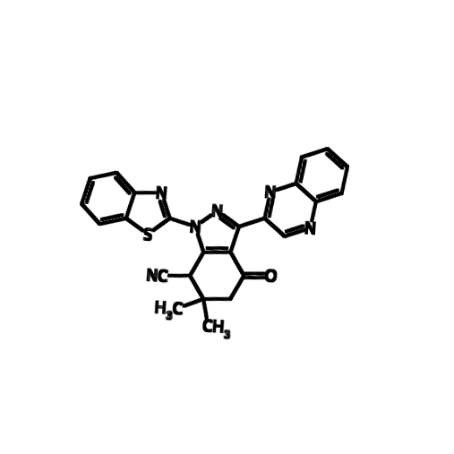 CC1(C)CC(=O)c2c(-c3cnc4ccccc4n3)nn(-c3nc4ccccc4s3)c2C1C#N